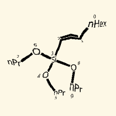 CCCCCC/C=C/[Si](OCCC)(OCCC)OCCC